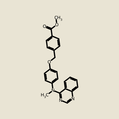 COC(=O)c1ccc(COc2ccc(N(C)c3ncnc4ccccc34)cc2)cc1